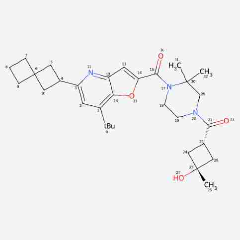 CC(C)(C)c1cc(C2CC3(CCC3)C2)nc2cc(C(=O)N3CCN(C(=O)[C@H]4C[C@@](C)(O)C4)CC3(C)C)oc12